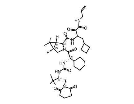 C=CCNC(=O)C(=O)C(CC1CCC1)NC(=O)[C@@H]1[C@@H]2[C@H](CN1C(=O)[C@@H](NC(=O)N[C@H](CN1C(=O)CCCC1=O)C(C)(C)C)C1CCCCC1)C2(C)C